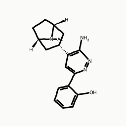 CC(=O)N1[C@@H]2CC[C@H]1C[C@@H](c1cc(-c3ccccc3O)nnc1N)C2